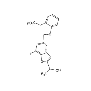 CC(O)c1cc2cc(COc3ccccc3CC(=O)O)cc(I)c2o1